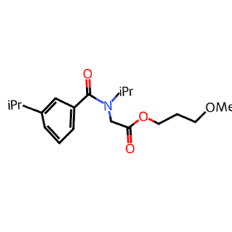 COCCCOC(=O)CN(C(=O)c1cccc(C(C)C)c1)C(C)C